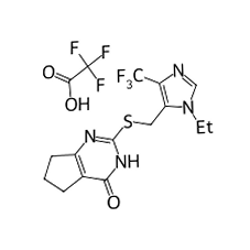 CCn1cnc(C(F)(F)F)c1CSc1nc2c(c(=O)[nH]1)CCC2.O=C(O)C(F)(F)F